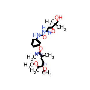 C=N/C(Oc1cccc(NC(=O)Nc2cc(C(C)(C)CO)on2)c1)=C(/C)C/C=C(/OC)C(=C)OC